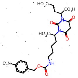 O=C(O)CCC(C(=O)O)N1C(=O)CC(=O)N(C(CCCCNC(=O)OCc2ccc([N+](=O)[O-])cc2)C(=O)O)C1=O